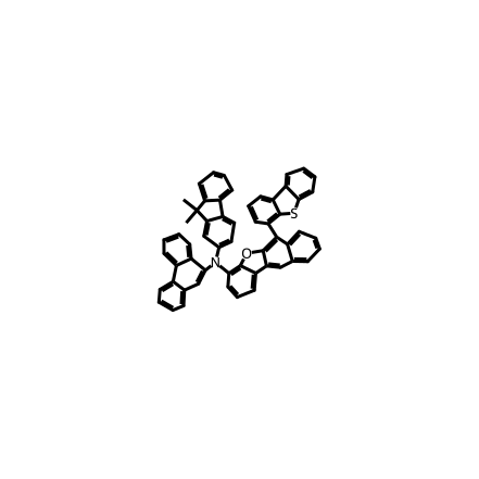 CC1(C)c2ccccc2-c2ccc(N(c3cc4ccccc4c4ccccc34)c3cccc4c3oc3c(-c5cccc6c5sc5ccccc56)c5ccccc5cc34)cc21